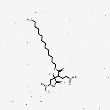 CCCCCCCCCCCCCCOC(=O)C(CC[S+](C)[O-])C(O)(CC[S+](C)[O-])C(=O)O